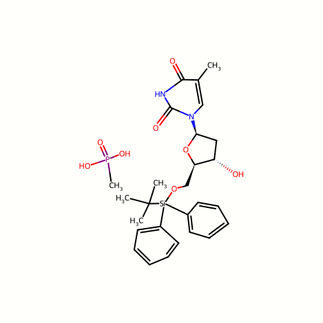 CP(=O)(O)O.Cc1cn([C@H]2C[C@H](O)[C@@H](CO[Si](c3ccccc3)(c3ccccc3)C(C)(C)C)O2)c(=O)[nH]c1=O